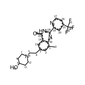 Cc1cc(CCN2CCC(O)CC2)cc2c(=O)[nH]c(-c3cc(C(F)(F)F)ccn3)nc12